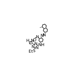 CCSc1nc(Cl)nc(Nc2ccc(N=Nc3ccc4cccc(C)c4c3)c(/N=C\ON)c2)n1